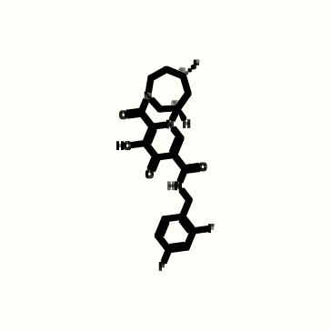 O=C(NCc1ccc(F)cc1F)c1cn2c(c(O)c1=O)C(=O)N1CC[C@H](F)C[C@H]2C1